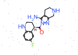 Nc1c2c(nn1C(=O)[C@@H]1CCNc3ccc(F)cc31)CNCC2